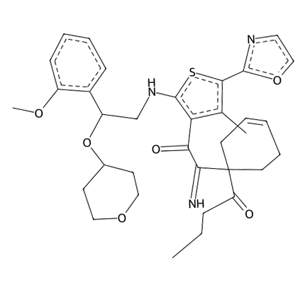 CCCC(=O)C1(C(=N)C(=O)c2c(NCC(OC3CCOCC3)c3ccccc3OC)sc(-c3ncco3)c2C)CC=CCC1